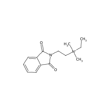 CC[N+](C)(C)CCN1C(=O)c2ccccc2C1=O